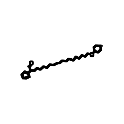 O=[C]C(CCCCCCCCCCCCCCCCCCOC1CC[CH]CC1)c1ccccc1